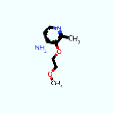 COCCOc1cccnc1C.N